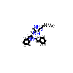 CNCCCC[C@H](CN)NC[C@H](Cc1ccccc1)NCCc1ccccc1